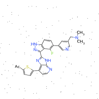 CC(=O)c1ccc(-c2ccnc3[nH]c(-c4n[nH]c5ccc(-c6cncc(CN(C)C)c6)c(F)c45)nc23)s1